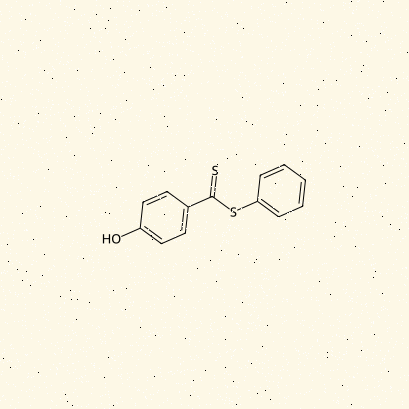 Oc1ccc(C(=S)Sc2ccccc2)cc1